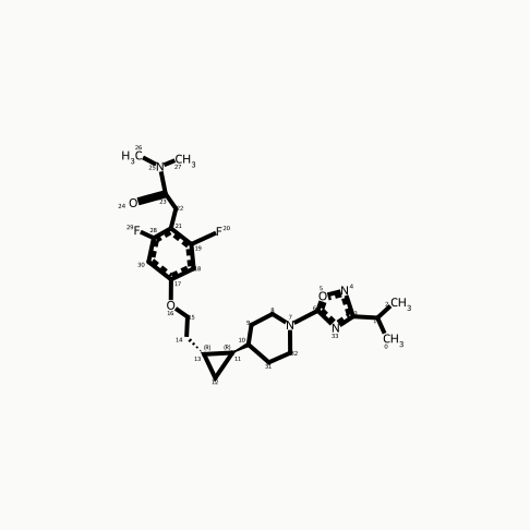 CC(C)c1noc(N2CCC([C@H]3C[C@@H]3CCOc3cc(F)c(CC(=O)N(C)C)c(F)c3)CC2)n1